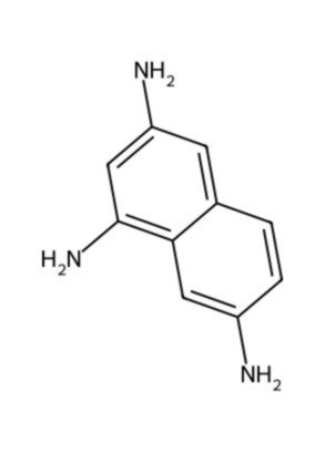 Nc1cc(N)c2cc(N)ccc2c1